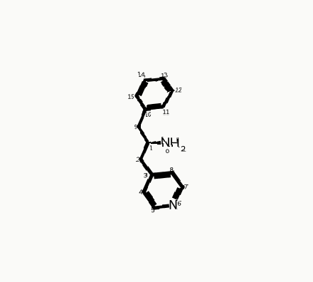 N[C@@H]([CH]c1ccncc1)Cc1ccccc1